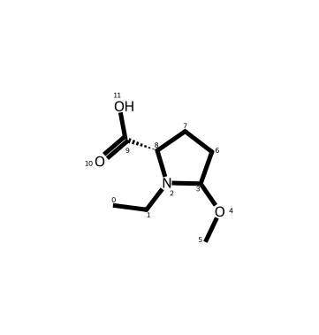 CCN1C(OC)CC[C@H]1C(=O)O